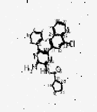 Nc1nc(-c2ccccc2)c(-c2cc(Cl)c3ncccc3c2)nc1NC(=O)C1CCCC1